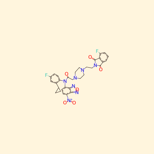 O=C1c2cccc(F)c2C(=O)N1CCN1CCN(CC(=O)N(c2ccc(F)cc2C2CC2)c2ccc([N+](=O)[O-])c3nonc23)CC1